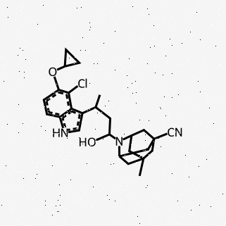 CC(CC(O)N1C2CC3(C)CC1CC(C#N)(C2)C3)c1c[nH]c2ccc(OC3CC3)c(Cl)c12